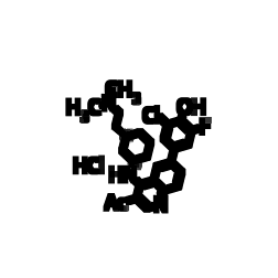 CC(=O)c1cnc2ccc(-c3cc(F)c(O)c(Cl)c3)cc2c1N[C@H]1CCC[C@H](CCN(C)C)C1.Cl